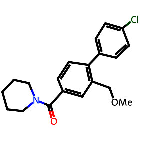 COCc1cc(C(=O)N2CCCCC2)ccc1-c1ccc(Cl)cc1